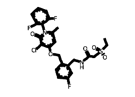 CCS(=O)(=O)CC(=O)NCc1cc(F)ccc1COc1cc(C)n(-c2c(F)cccc2F)c(=O)c1Cl